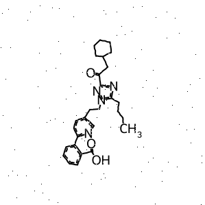 CCCCc1nc(C(=O)CC2CCCCC2)nn1CCc1ccc(-c2ccccc2C(=O)O)nc1